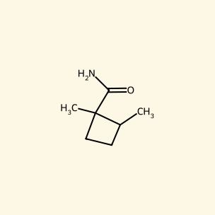 CC1CCC1(C)C(N)=O